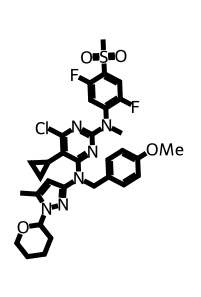 COc1ccc(CN(c2cc(C)n(C3CCCCO3)n2)c2nc(N(C)c3cc(F)c(S(C)(=O)=O)cc3F)nc(Cl)c2C2CC2)cc1